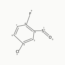 O=[S+]c1cc(Cl)ccc1F